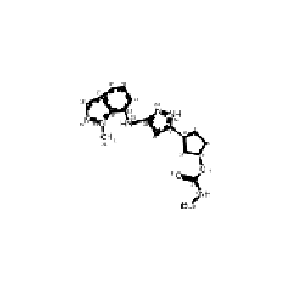 CCC(C)NC(=O)O[C@@H]1CC[C@H](c2cc(Nc3cccc4cnn(C)c34)n[nH]2)C1